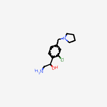 NCC(O)c1ccc(CN2CCCC2)cc1Cl